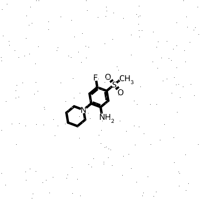 CS(=O)(=O)c1cc(N)c(N2CCCCC2)cc1F